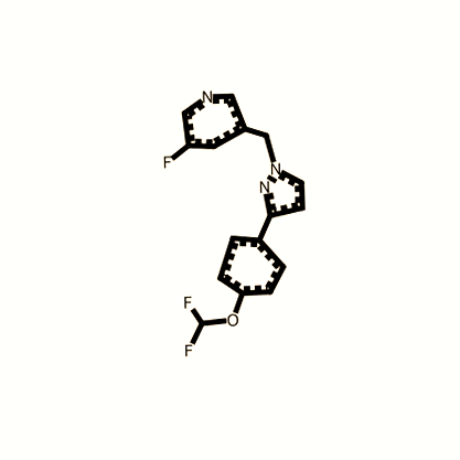 Fc1cncc(Cn2ccc(-c3ccc(OC(F)F)cc3)n2)c1